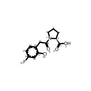 O=C(O)[C@@H]1CCCN1C(=O)Cc1ccc(F)cc1Cl